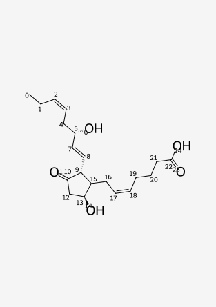 CC/C=C\C[C@H](O)/C=C/[C@H]1C(=O)C[C@H](O)C1C/C=C\CCCC(=O)O